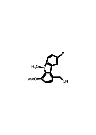 COc1ccc(CC#N)c2c3cc(F)ccc3n(C)c12